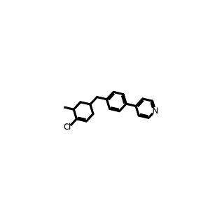 CC1CC(Cc2ccc(-c3ccncc3)cc2)CC=C1Cl